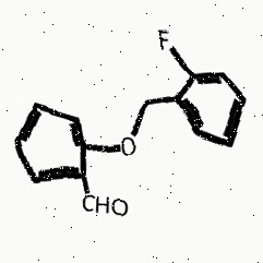 O=Cc1ccccc1OCc1ccccc1F